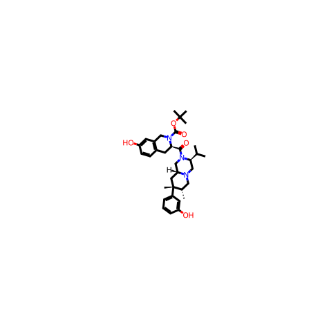 CC(C)[C@H]1CN2C[C@H](C)[C@](C)(c3cccc(O)c3)C[C@@H]2CN1C(=O)[C@H]1Cc2ccc(O)cc2CN1C(=O)OC(C)(C)C